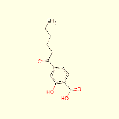 CCCCCC(=O)c1ccc(C(=O)O)c(O)c1